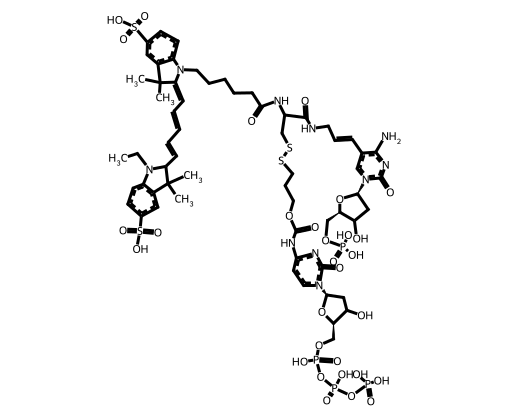 CCN1c2ccc(S(=O)(=O)O)cc2C(C)(C)C1/C=C/C=C/C=C1/N(CCCCCC(=O)NC(CSSCCCOC(=O)Nc2ccn([C@H]3CC(O)[C@@H](COP(=O)(O)OP(=O)(O)OP(=O)(O)O)O3)c(=O)n2)C(=O)NC/C=C/c2cn([C@H]3CC(O)[C@@H](COP(=O)(O)O)O3)c(=O)nc2N)c2ccc(S(=O)(=O)O)cc2C1(C)C